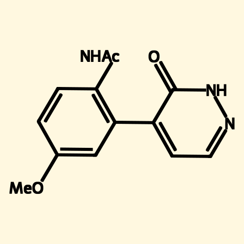 COc1ccc(NC(C)=O)c(-c2ccn[nH]c2=O)c1